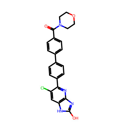 O=C(c1ccc(-c2ccc(-c3nc4nc(O)[nH]c4cc3Cl)cc2)cc1)N1CCOCC1